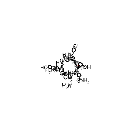 CC(O)[C@@H]1NC(=O)[C@H](CCCCCN)NC(=O)[C@@H](Cc2ccc(C(N)=O)cc2)NC(=O)[C@H](Cc2ccc(O)cc2)NC(=O)[C@@H](NC(=O)[C@@H](N)Cc2ccc(Cl)cc2)CNC(=O)SC[C@@H](C(=O)N[C@H](Cc2ccc(O)cc2)C(N)=O)NC1=O